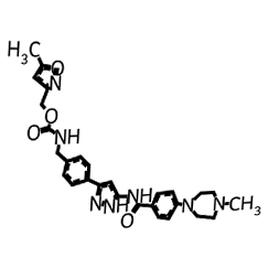 Cc1cc(COC(=O)NCc2ccc(-c3cc(NC(=O)c4ccc(N5CCN(C)CC5)cc4)[nH]n3)cc2)no1